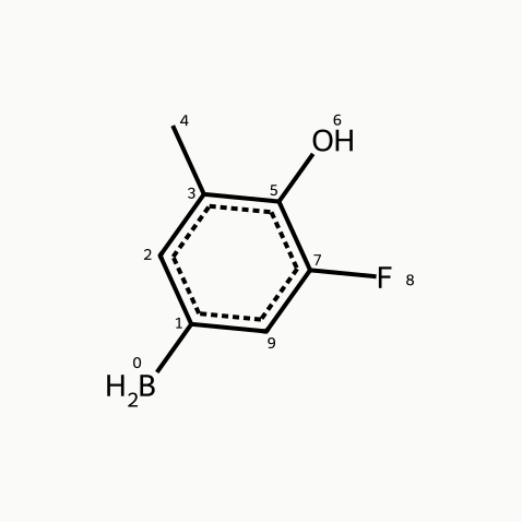 Bc1cc(C)c(O)c(F)c1